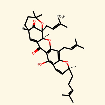 CC(C)=CCC[C@@]1(C)C=Cc2c(O)c3c(c(CC=C(C)C)c2O1)O[C@@]1(C)C(=C[C@@H]2CCC(C)(C)O[C@@]1(C/C=C(/C)C(=O)O)C2=O)C3=O